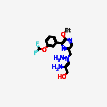 CCOc1ncc(CN(N)/C=C(\N)CO)nc1-c1cccc(OC(F)F)c1